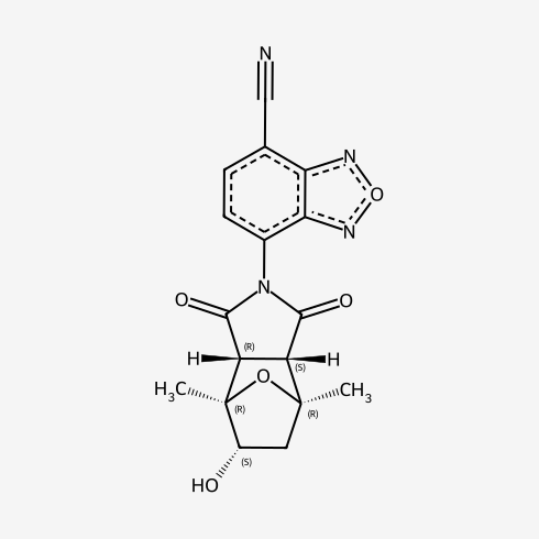 C[C@]12O[C@](C)(C[C@@H]1O)[C@H]1C(=O)N(c3ccc(C#N)c4nonc34)C(=O)[C@H]12